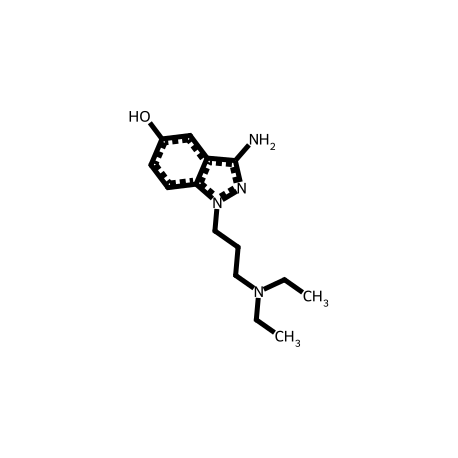 CCN(CC)CCCn1nc(N)c2cc(O)ccc21